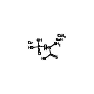 NNC(=S)S.O=P(O)(O)O.[CaH2].[Cu].[NaH]